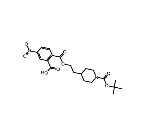 CC(C)(C)OC(=O)N1CCC(CCOC(=O)c2ccc([N+](=O)[O-])cc2C(=O)O)CC1